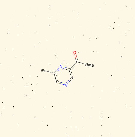 CNC(=O)c1cncc(C(C)C)n1